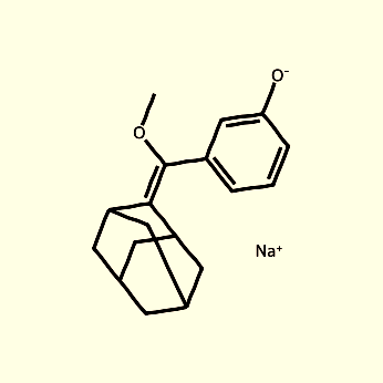 COC(=C1C2CC3CC(C2)CC1C3)c1cccc([O-])c1.[Na+]